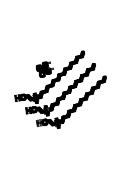 CCCCCCCCCCCCCCCC[N+](C)(C)CCO.CCCCCCCCCCCCCCCC[N+](C)(C)CCO.CCCCCCCCCCCCCCCC[N+](C)(C)CCO.O=P([O-])([O-])[O-]